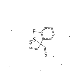 Fc1ccccc1C1(C=S)C=CSS1